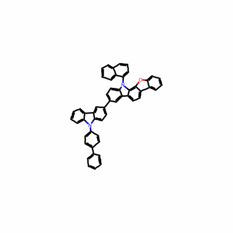 c1ccc(-c2ccc(-n3c4ccccc4c4cc(-c5ccc6c(c5)c5ccc7c8ccccc8oc7c5n6-c5cccc6ccccc56)ccc43)cc2)cc1